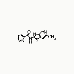 Cc1cc2sc(NC(=O)c3ccccn3)nc2cn1